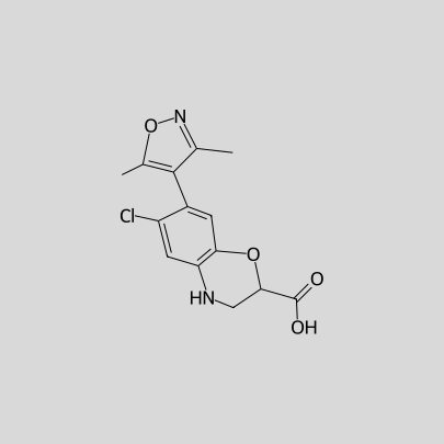 Cc1noc(C)c1-c1cc2c(cc1Cl)NCC(C(=O)O)O2